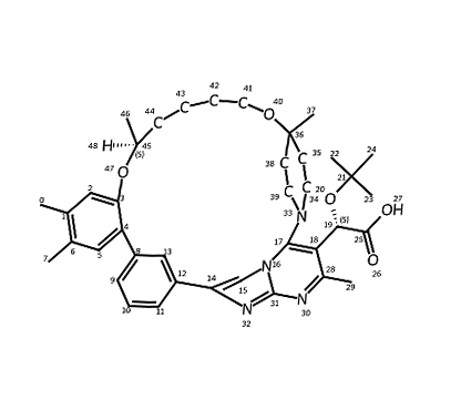 Cc1cc2c(cc1C)-c1cccc(c1)-c1cn3c(c([C@H](OC(C)(C)C)C(=O)O)c(C)nc3n1)N1CCC(C)(CC1)OCCCC[C@H](C)O2